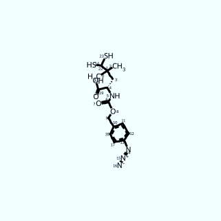 CC(C)(C[C@H](NC(=O)OCc1ccc(N=[N+]=[N-])cc1)C(=O)O)C(S)S